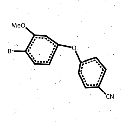 COc1cc(Oc2ccc(C#N)cc2)ccc1Br